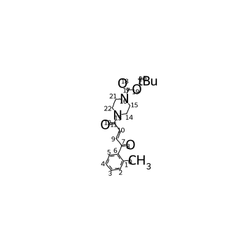 Cc1ccccc1C(=O)/C=C/C(=O)N1CCN(C(=O)OC(C)(C)C)CC1